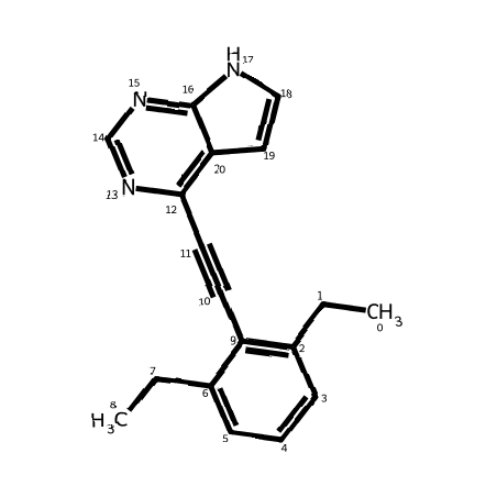 CCc1cccc(CC)c1C#Cc1ncnc2[nH]ccc12